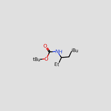 CCC(C)CC(CC)NC(=O)OC(C)(C)C